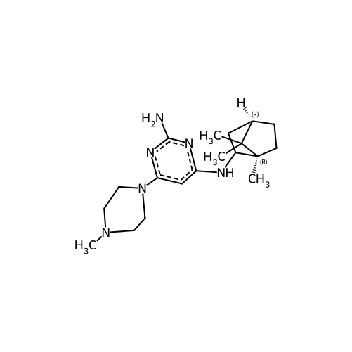 CN1CCN(c2cc(NC3C[C@H]4CC[C@]3(C)C4(C)C)nc(N)n2)CC1